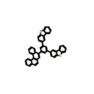 c1ccc2c(c1)ccc1cc(-c3cc(-c4ccc5sc6ccccc6c5c4)cc(-c4ccc5sc6ccccc6c5c4)c3)c3ccccc3c12